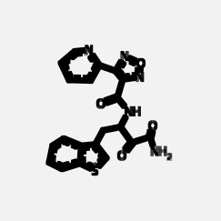 NC(=O)C(=O)C(Cc1csc2ccccc12)NC(=O)c1nonc1-c1ccccn1